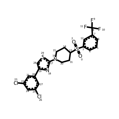 O=S(=O)(c1cccc(C(F)(F)F)c1)C1CCN(c2nc(-c3cc(Cl)cc(Cl)c3)cs2)CC1